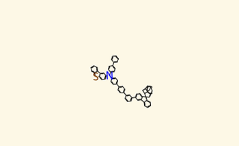 c1ccc(-c2ccc(N(c3ccc(-c4ccc(-c5cccc(-c6ccc7c(c6)-c6ccccc6C76C7CC8CC9CC6C9(C8)C7)c5)cc4)cc3)c3ccc4sc5ccccc5c4c3)cc2)cc1